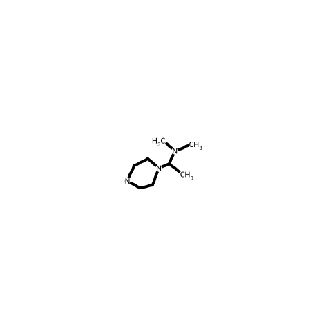 CC(N(C)C)N1CC[N]CC1